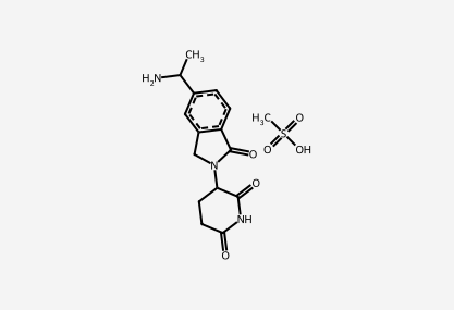 CC(N)c1ccc2c(c1)CN(C1CCC(=O)NC1=O)C2=O.CS(=O)(=O)O